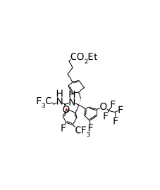 CCOC(=O)CCCC1=CCC(C[C@](NC(=O)NCC(F)(F)F)(c2cc(F)cc(OC(F)(F)C(F)F)c2)c2ccc(F)c(C(F)(F)F)c2)C=C1